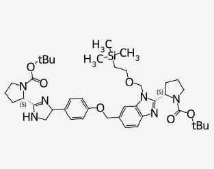 CC(C)(C)OC(=O)N1CCC[C@H]1C1=NC(c2ccc(OCc3ccc4nc([C@@H]5CCCN5C(=O)OC(C)(C)C)n(COCC[Si](C)(C)C)c4c3)cc2)CN1